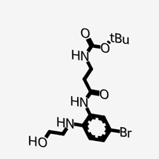 CC(C)(C)OC(=O)NCCC(=O)Nc1cc(Br)ccc1NCCO